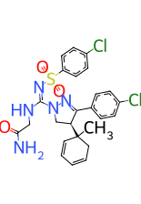 CC1([C@H]2CN(/C(=N\S(=O)(=O)c3ccc(Cl)cc3)NCC(N)=O)N=C2c2ccc(Cl)cc2)C=CC=CC1